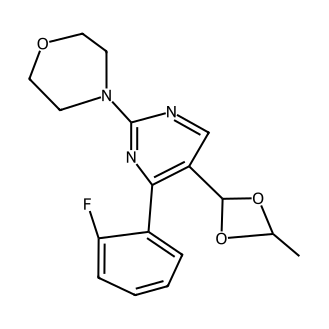 CC1OC(c2cnc(N3CCOCC3)nc2-c2ccccc2F)O1